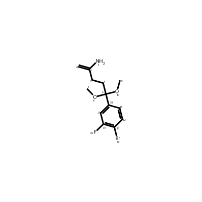 C=C(N)CCC(OC)(OC)c1ccc(Br)c(F)c1